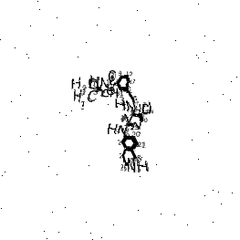 CC(C)(C)NS(=O)(=O)c1cccc(CNc2nc(Nc3ccc4c(c3)CCNC4)ncc2Cl)c1.Cl